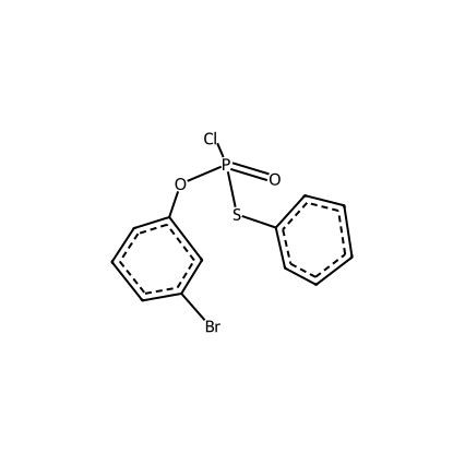 O=P(Cl)(Oc1cccc(Br)c1)Sc1ccccc1